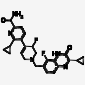 NC(=O)c1ccc(C2=CCN(Cc3ccc4nc(C5CC5)c(=O)[nH]c4c3F)CC2F)c(C2CC2)n1